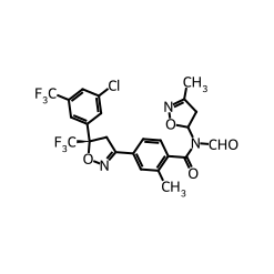 CC1=NOC(N(C=O)C(=O)c2ccc(C3=NO[C@@](c4cc(Cl)cc(C(F)(F)F)c4)(C(F)(F)F)C3)cc2C)C1